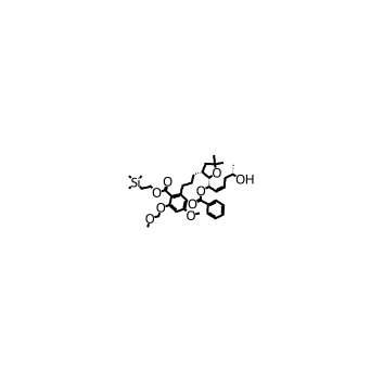 COCOc1cc(OC)cc(CCC[C@@H]2CC(C)(C)O[C@@H]2C(/C=C\C[C@H](C)O)OC(=O)c2ccccc2)c1C(=O)OCC[Si](C)(C)C